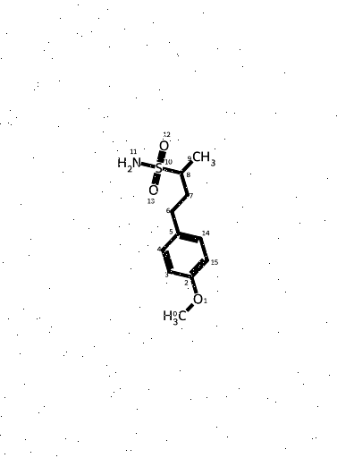 COc1ccc(CCC(C)S(N)(=O)=O)cc1